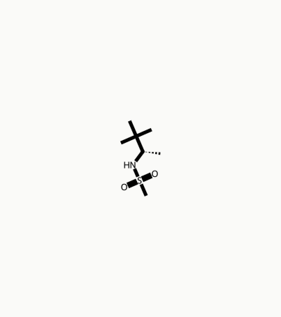 C[C@H](NS(C)(=O)=O)C(C)(C)C